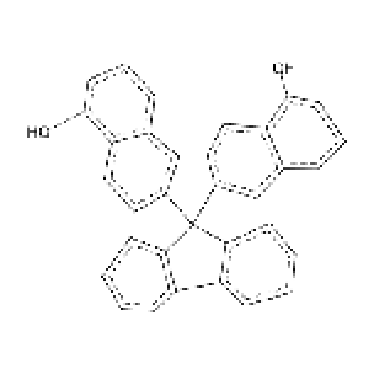 Oc1cccc2cc(C3(c4ccc5c(O)cccc5c4)c4ccccc4-c4ccccc43)ccc12